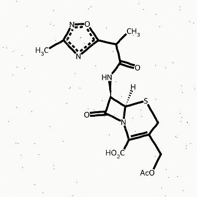 CC(=O)OCC1=C(C(=O)O)N2C(=O)[C@@H](NC(=O)C(C)c3nc(C)no3)[C@H]2SC1